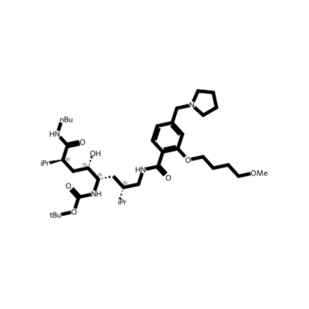 CCCCNC(=O)[C@@H](C[C@H](O)[C@H](C[C@H](CNC(=O)c1ccc(CN2CCCC2)cc1OCCCCOC)C(C)C)NC(=O)OC(C)(C)C)C(C)C